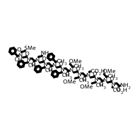 COCC(C)N(CC(=O)N(CC(N)=O)CC(=O)O)C(=O)CN(C(=O)CN(CC(=O)O)C(=O)CN(C(=O)CN(C(=O)CN(C(=O)CN(C(=O)CN(C(=O)CN(CCN)C(=O)CN(C(=O)CN(C(=O)CSC)C(C)c1ccccc1)C(C)c1ccccc1)C(C)c1ccccc1)C(C)c1ccccc1)C(C)c1ccccc1)C(C)COC)C(C)COC)C(C)COC